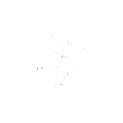 CCO[Si](C)(OCC)C(C)N(CC)CC